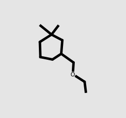 CCOCC1CCCC(C)(C)C1